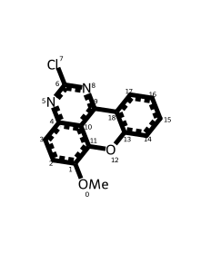 COc1ccc2nc(Cl)nc3c2c1Oc1ccccc1-3